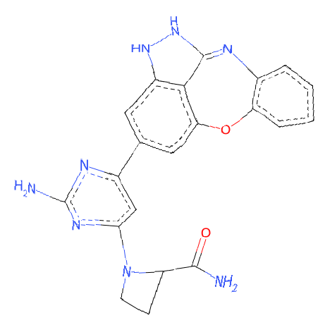 NC(=O)C1CCN1c1cc(-c2cc3c4c(c2)Oc2ccccc2N=C4NN3)nc(N)n1